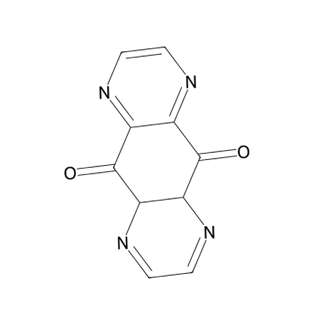 O=C1c2nccnc2C(=O)C2N=CC=NC12